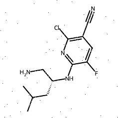 CC(C)C[C@H](CN)Nc1nc(Cl)c(C#N)cc1F